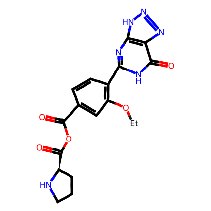 CCOc1cc(C(=O)OC(=O)[C@H]2CCCN2)ccc1-c1nc2[nH]nnc2c(=O)[nH]1